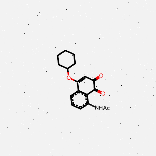 CC(=O)Nc1cccc2c1C(=O)C(=O)C=C2OC1CCCCC1